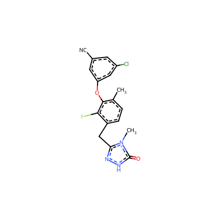 Cc1ccc(Cc2n[nH]c(=O)n2C)c(F)c1Oc1cc(Cl)cc(C#N)c1